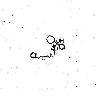 C[N+](C)(CCOCCc1ccccc1)Cc1cnc(C(O)(c2ccccc2)C2CCCCCCC2)o1